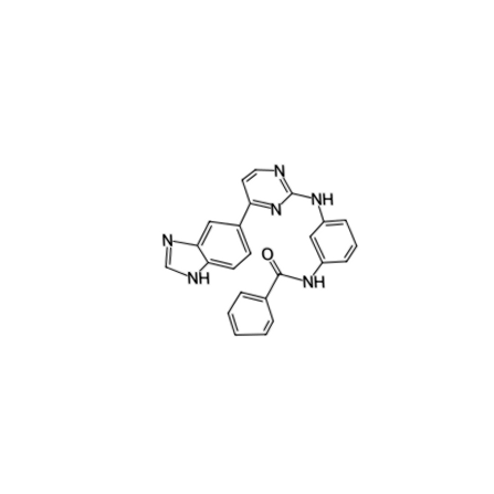 O=C(Nc1cccc(Nc2nccc(-c3ccc4[nH]cnc4c3)n2)c1)c1ccccc1